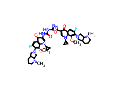 COc1c(N2CC3CCCN(C)C3C2)c(F)cc2c(=O)c(NC(=O)Nc3nnc(-c4cn(C5CC5)c5c(OC)c(N6CC7CCCN(C)C7C6)c(F)cc5c4=O)o3)cn(C3CC3)c12